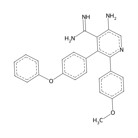 COc1ccc(-c2ncc(N)c(C(=N)N)c2-c2ccc(Oc3ccccc3)cc2)cc1